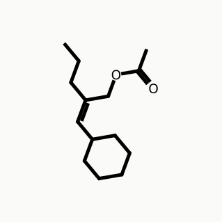 CCCC(=CC1CCCCC1)COC(C)=O